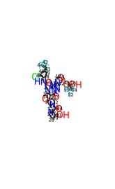 O=C(Cn1c2c(c(=O)n3nc(N4CCOCC4)nc13)C1(CCN(C(=O)c3ncccc3O)CC1)OC2)Nc1ccc(C(F)(F)F)cc1Cl.O=C(O)C(F)(F)F